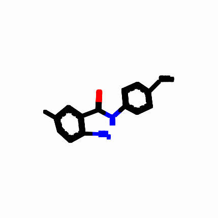 COc1ccc(NC(=O)c2cc(C)ccc2N)cc1